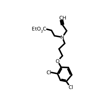 C#CCN(CCCOc1ccc(Cl)cc1Cl)CCC(=O)OCC